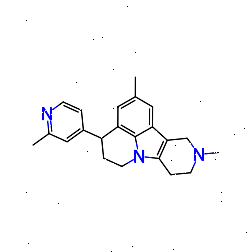 Cc1cc2c3c(c1)c1c(n3CCC2c2ccnc(C)c2)CCN(C)C1